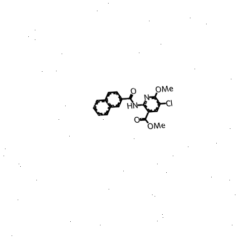 COC(=O)c1cc(Cl)c(OC)nc1NC(=O)c1ccc2ccccc2c1